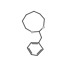 c1ccc(CC2OCCCCCCO2)cc1